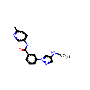 Cc1ccc(NC(=O)c2cccc(-n3cc(NC(=O)O)cn3)c2)cn1